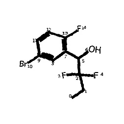 CCC(F)(F)C(O)c1cc(Br)ccc1F